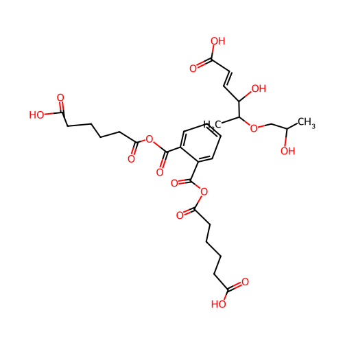 CC(O)COC(C)C(O)C=CC(=O)O.O=C(O)CCCCC(=O)OC(=O)c1ccccc1C(=O)OC(=O)CCCCC(=O)O